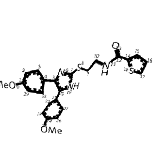 COc1ccc(-c2nc(SCCNC(=O)c3cccs3)[nH]c2-c2ccc(OC)cc2)cc1